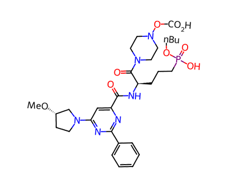 CCCCOP(=O)(O)CCC[C@@H](NC(=O)c1cc(N2CC[C@H](OC)C2)nc(-c2ccccc2)n1)C(=O)N1CCN(OC(=O)O)CC1